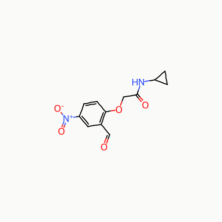 O=Cc1cc([N+](=O)[O-])ccc1OCC(=O)NC1CC1